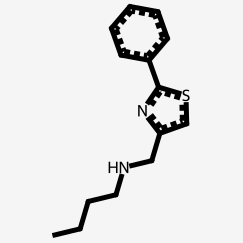 CCCCNCc1csc(-c2ccccc2)n1